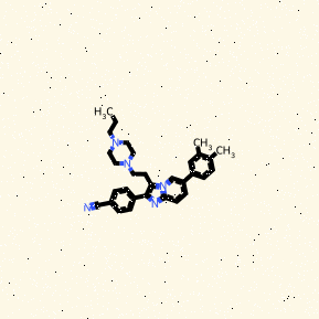 CCCN1CCN(CCc2c(-c3ccc(C#N)cc3)nc3ccc(-c4ccc(C)c(C)c4)cn23)CC1